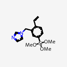 C=Cc1ccc([Si](OC)(OC)OC)cc1Cn1ccnc1